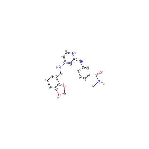 CN(C)C(=O)c1cccc(Nc2nccc(NCc3cccc4c3OCO4)n2)c1